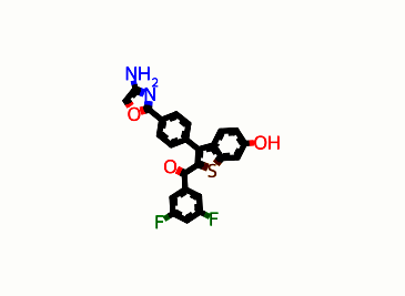 Nc1coc(-c2ccc(-c3c(C(=O)c4cc(F)cc(F)c4)sc4cc(O)ccc34)cc2)n1